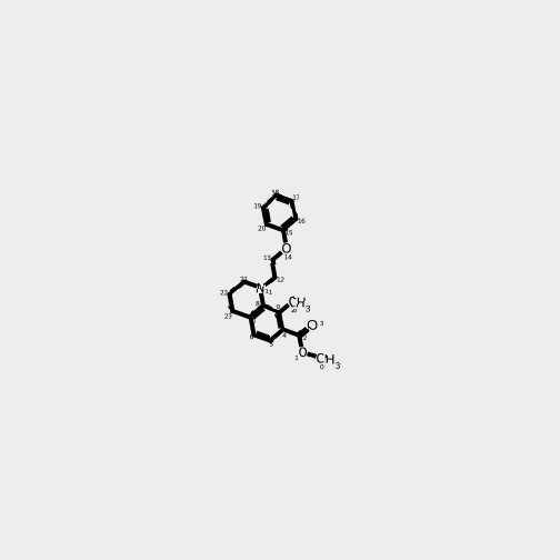 COC(=O)c1ccc2c(c1C)N(CCOc1ccccc1)CCC2